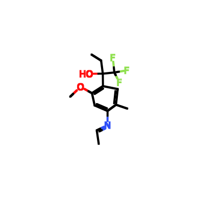 C/C=N/c1cc(OC)c(C(O)(CC)C(F)(F)F)cc1C